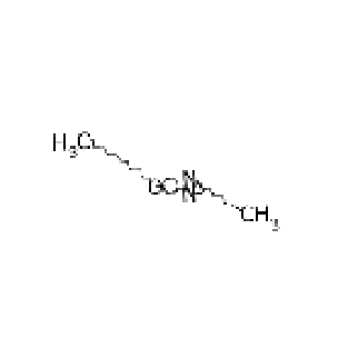 CCCCCCCCCCCCOc1ccc(-c2ncc(CCCCCCC)cn2)cc1